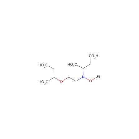 CCON(CCOC(CC(=O)O)C(=O)O)C(CC(=O)O)C(=O)O